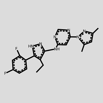 CCc1c(Nc2cc(-n3nc(C)cc3C)ncn2)n[nH]c1-c1ccc(F)cc1F